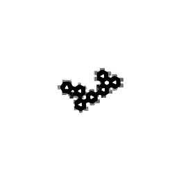 c1ccc(-c2cccc3c2sc2ccccc23)c(-c2ccc(-c3ccc4c5ccccc5c5ccccc5c4n3)cc2)c1